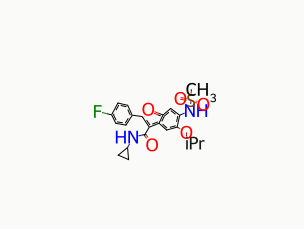 CC(C)Oc1cc2c(C(=O)NC3CC3)c(-c3ccc(F)cc3)oc2cc1NS(C)(=O)=O